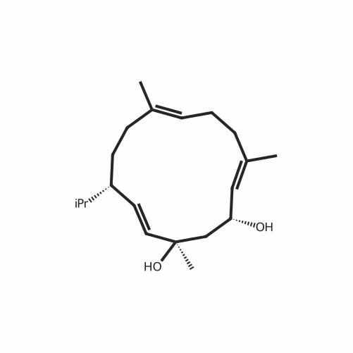 C/C1=C\[C@H](O)C[C@@](C)(O)/C=C/[C@H](C(C)C)CC/C(C)=C/CC1